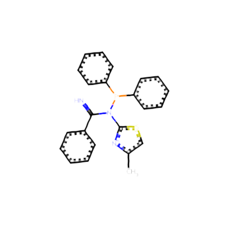 Cc1csc(N(C(=N)c2ccccc2)P(c2ccccc2)c2ccccc2)n1